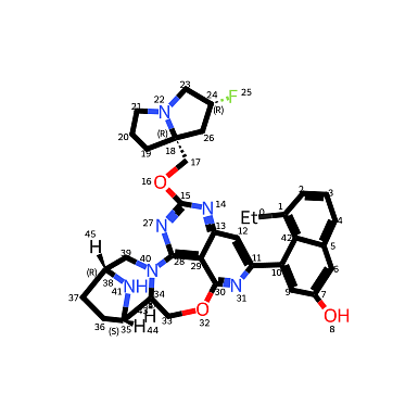 CCc1cccc2cc(O)cc(-c3cc4nc(OC[C@]56CCCN5C[C@H](F)C6)nc5c4c(n3)OC[C@H]3[C@@H]4CC[C@H](CN53)N4)c12